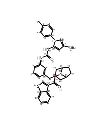 Cc1ccc(-n2nc(C(C)(C)C)cc2NC(=O)Nc2cccc(CC3CC4CCC(C3)N4CC(=O)c3csc4ccccc34)c2)cc1